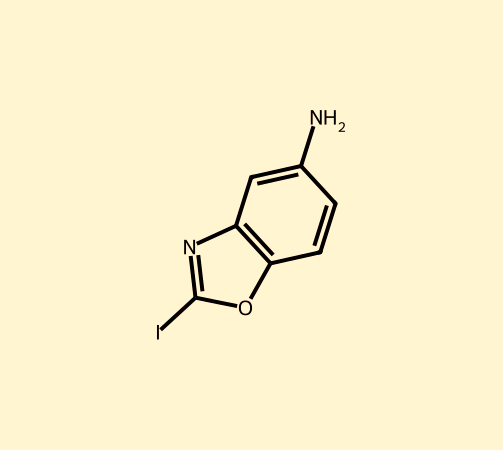 Nc1ccc2oc(I)nc2c1